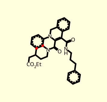 CCOC(=O)CC1CCN(C(=O)C2=C(C(=O)NCCCc3ccccc3)c3ccccc3CN2c2ccccc2)CC1